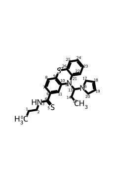 CCCNC(=S)c1ccc2c(c1)N(C(CC)N1CC=CC1)c1ccccc1S2